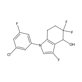 OC1c2c(F)cn(-c3cc(F)cc(Cl)c3)c2CCC1(F)F